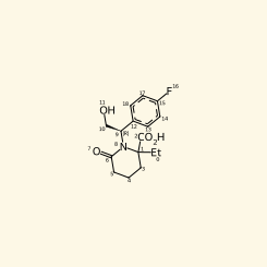 CCC1(C(=O)O)CCCC(=O)N1[C@@H](CO)c1ccc(F)cc1